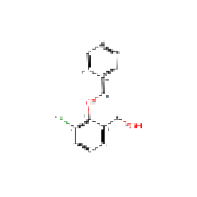 OCc1cccc(F)c1OCc1ccccc1